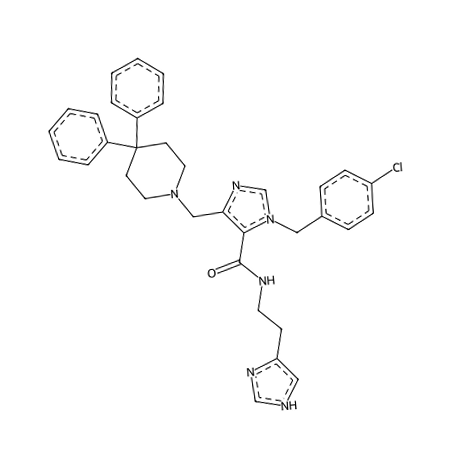 O=C(NCCc1c[nH]cn1)c1c(CN2CCC(c3ccccc3)(c3ccccc3)CC2)ncn1Cc1ccc(Cl)cc1